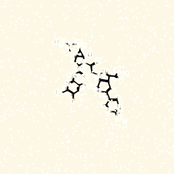 CC(=O)c1nn(CC(=O)N2[C@H](C(=O)Nc3nc(Br)c(F)cc3C)C[C@@]3(CN(C)C)C[C@@H]23)c2cnc(-c3cnc(C)nc3)cc12